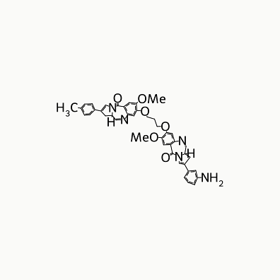 COc1cc2c(cc1OCCCOc1cc3c(cc1OC)C(=O)N1C=C(c4cccc(N)c4)C[C@H]1C=N3)N=C[C@@H]1CC(c3ccc(C)cc3)=CN1C2=O